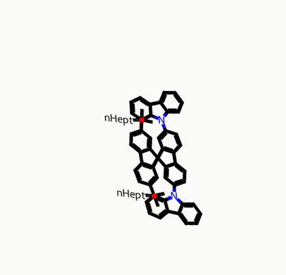 CCCCCCCC(C)(C)c1ccc2c(c1)C1(c3cc(N4c5ccccc5C5=CC=CCC54)ccc3-c3ccc(-n4c5ccccc5c5ccccc54)cc31)c1cc(C(C)(C)CCCCCCC)ccc1-2